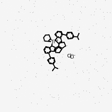 CC(C)c1ccc(-c2cccc3c2C=C(C2CCCC2)[CH]3[Ti+2]2([CH]3C(C4CCCC4)=Cc4c(-c5ccc(C(C)C)cc5)cccc43)[CH]3CCCC[CH]32)cc1.[Cl-].[Cl-]